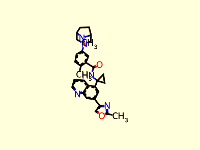 Cc1nc(-c2cc(C3(NC(=O)c4cc(N5CC6CCC(C5)N6C)ccc4C)CC3)c3cccnc3c2)co1